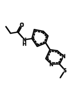 CCC(=O)Nc1cccc(-c2cnc(SC)nc2)c1